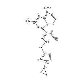 COc1cccc2c(/C(=C/NCc3ccn(C4CC4)n3)N=N)cc(N)nc12